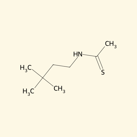 CC(=S)NCCC(C)(C)C